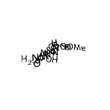 COOCOC[C@H]1C[C@H]2COc3c(Sc4cnc(N5CCC6(CC5)CO[C@@H](C)[C@H]6N)c(CO)n4)ccnc3N2C1